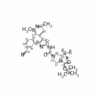 Cc1cc(-c2sc(NC(=O)N3CCN(C(=O)OC(C)(C)C)C(C(F)(F)F)C3)nc2-c2cccc(C#N)c2)cc(C)n1